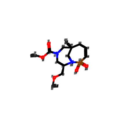 CCCCOC[C@H]1CN(C(=O)OC(C)(C)C)C[C@@H]2CC=CS(=O)(=O)N1C2